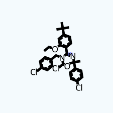 CCOc1cc(C(C)(C)C)ccc1/C(=N/C(C)(C)c1ccc(Cl)cc1)N(Cc1ccc(Cl)cc1)C(=O)Cl